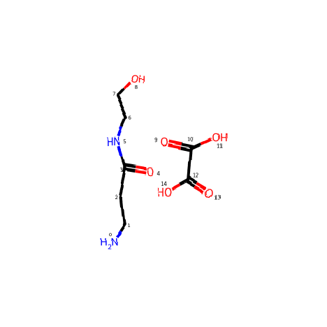 NCCC(=O)NCCO.O=C(O)C(=O)O